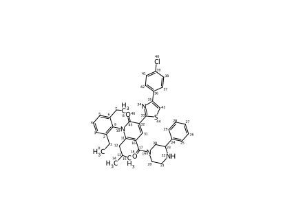 CCc1cccc(CC)c1-n1c(CC(C)C)c(C(=O)N2CCNC(c3ccccc3)C2)cc(-c2nc(-c3ccc(Cl)cc3)cs2)c1=O